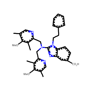 COc1c(C)cnc(CN(Cc2ncc(C)c(OC)c2C)c2nc3cc(C(=O)O)ccc3n2CCc2ccccc2)c1C